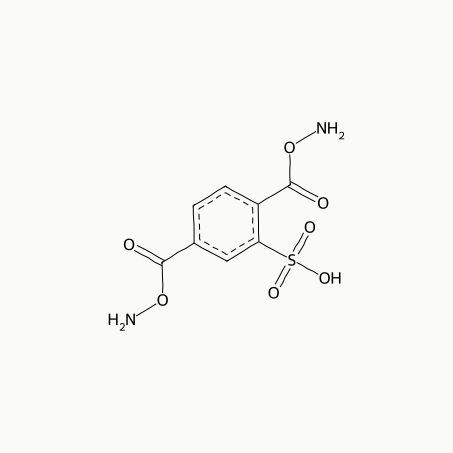 NOC(=O)c1ccc(C(=O)ON)c(S(=O)(=O)O)c1